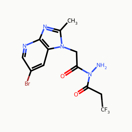 Cc1nc2ncc(Br)cc2n1CC(=O)N(N)C(=O)CC(F)(F)F